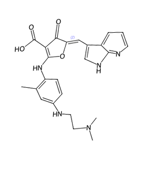 Cc1cc(NCCN(C)C)ccc1NC1=C(C(=O)O)C(=O)/C(=C/c2c[nH]c3ncccc23)O1